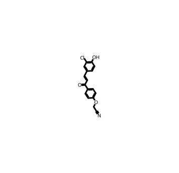 N#CCOc1ccc(C(=O)/C=C/c2ccc(O)c(Cl)c2)cc1